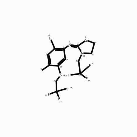 Cc1cc(F)c(N=C2SCCN2CC(F)(F)F)cc1SCC(F)(F)F